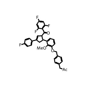 COc1c(OCc2ccc(CC(C)=O)cc2)cccc1C1CC(c2ccc(F)cc2)=CC1C(=O)c1c(F)cc(F)cc1F